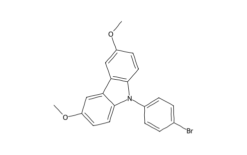 COc1ccc2c(c1)c1cc(OC)ccc1n2-c1ccc(Br)cc1